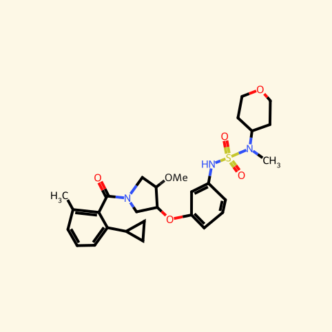 COC1CN(C(=O)c2c(C)cccc2C2CC2)CC1Oc1cccc(NS(=O)(=O)N(C)C2CCOCC2)c1